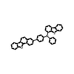 c1ccc(N(c2ccc(-c3ccc4c(ccc5c6ccccc6oc45)c3)cc2)c2cccc3c2sc2ccccc23)cc1